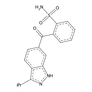 CC(C)c1n[nH]c2cc(C(=O)c3ccccc3S(N)(=O)=O)ccc12